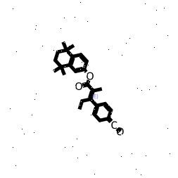 CC/C(C1=CCC(=C=O)C=C1)=C(/C)C(=O)Oc1ccc2c(c1)C(C)(C)CCC2(C)C